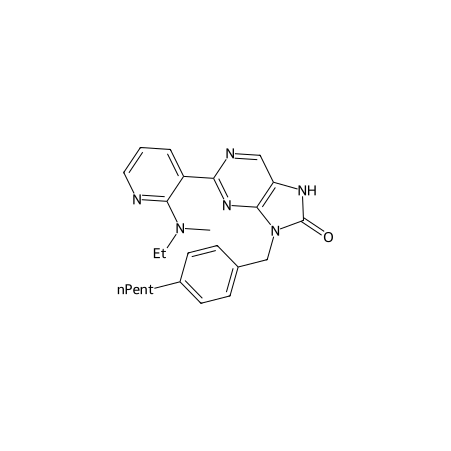 CCCCCc1ccc(Cn2c(=O)[nH]c3cnc(-c4cccnc4N(C)CC)nc32)cc1